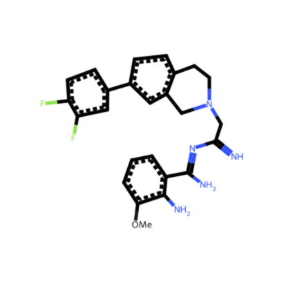 COc1cccc(/C(N)=N/C(=N)CN2CCc3ccc(-c4ccc(F)c(F)c4)cc3C2)c1N